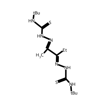 CCC(=N\NC(=S)NC(C)(C)C)/C(C)=N/NC(=S)NC(C)(C)C